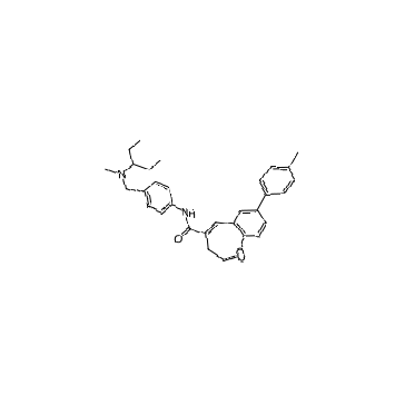 CCC(CC)N(C)Cc1ccc(NC(=O)C2=Cc3cc(-c4ccc(C)cc4)ccc3OCC2)cc1